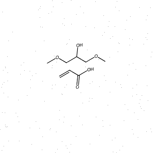 C=CC(=O)O.COCC(O)COC